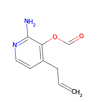 C=CCc1ccnc(N)c1OC=O